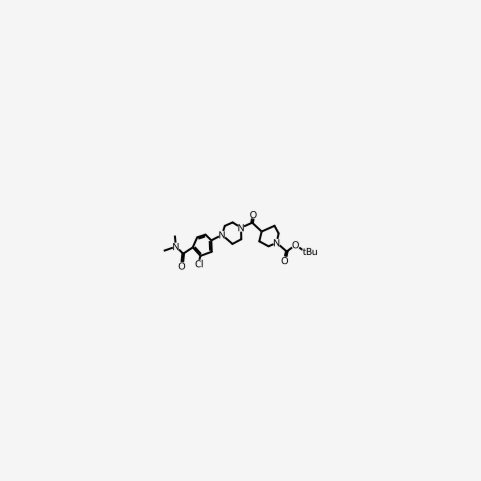 CN(C)C(=O)c1ccc(N2CCN(C(=O)C3CCN(C(=O)OC(C)(C)C)CC3)CC2)cc1Cl